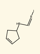 IB=CBC1CC=CC1